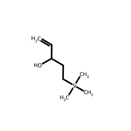 C=CC(O)CC[Si](C)(C)C